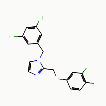 Fc1ccc(OCc2nccn2Cc2cc(Cl)cc(Cl)c2)cc1F